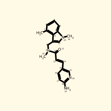 Cc1cccc2c1c(CN(C)C(=O)/C=C/c1ccc(N)nc1)cn2C